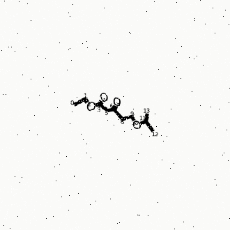 CCOC(=O)CC(=O)CCOC(C)C